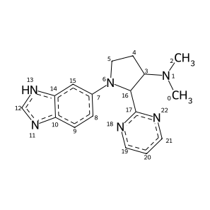 CN(C)C1CCN(c2ccc3nc[nH]c3c2)C1c1ncccn1